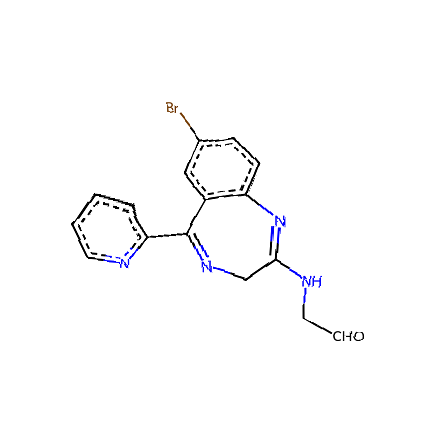 O=CCNC1=Nc2ccc(Br)cc2C(c2ccccn2)=NC1